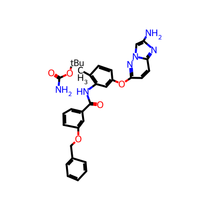 CC(C)(C)OC(N)=O.Cc1ccc(Oc2ccc3nc(N)cn3n2)cc1NC(=O)c1cccc(OCc2ccccc2)c1